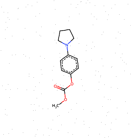 COC(=O)Oc1ccc(N2CCCC2)cc1